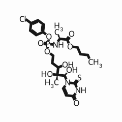 CCCCOC(=O)[C@H](C)NP(=O)(OCCC(O)[C@@](C)(O)[C@@H](O)n1ccc(=O)[nH]c1=S)Oc1ccc(Cl)cc1